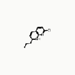 CCCC1C=Cc2ccc(Cl)nc2N1